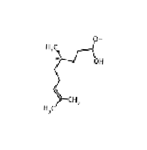 CC(C)=CCC[C@@H](C)CCC(O)O